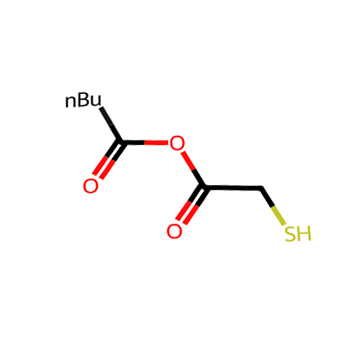 CCCCC(=O)OC(=O)CS